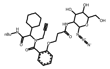 C#CCN(C(=O)c1ccccc1OCCC(=O)NC1C(N=[N+]=[N-])OC(CO)C(O)C1O)C(C(=O)NCCCC)C1CCCCC1